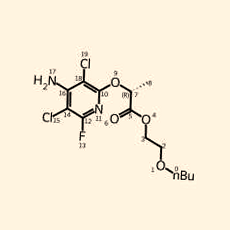 CCCCOCCOC(=O)[C@@H](C)Oc1nc(F)c(Cl)c(N)c1Cl